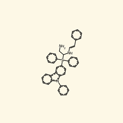 NCC(N/C=C/c1ccccc1)[Si](c1ccccc1)(c1ccccc1)c1ccc2c(c1)c1ccccc1n2-c1ccccc1